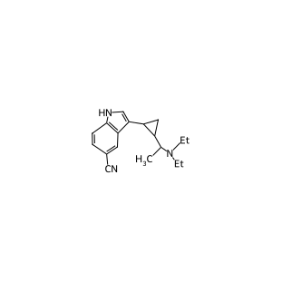 CCN(CC)C(C)C1CC1c1c[nH]c2ccc(C#N)cc12